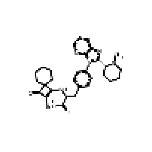 CN1CCCC[C@@H]1c1nc2cccnc2n1-c1ccc(C[C@H](NC2=C(Br)C(=O)C23CCCCC3)C(=O)O)cc1